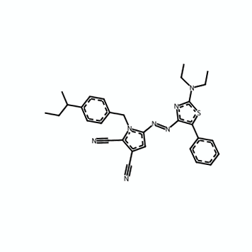 CCC(C)c1ccc(Cn2c(/N=N/c3nc(N(CC)CC)sc3-c3ccccc3)cc(C#N)c2C#N)cc1